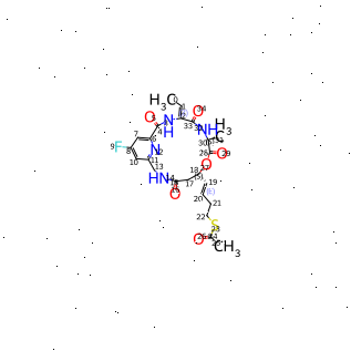 C/C=C1\NC(=O)c2cc(F)cc(n2)CNC(=O)C[C@@H](/C=C/CCSC(C)=O)OC(=O)[C@H](C)NC1=O